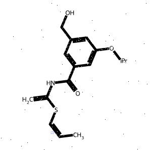 C=C(NC(=O)c1cc(CO)cc(OC(C)C)c1)S/C=C\C